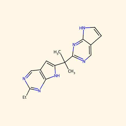 CCc1ncc2cc(C(C)(C)c3ncc4cc[nH]c4n3)[nH]c2n1